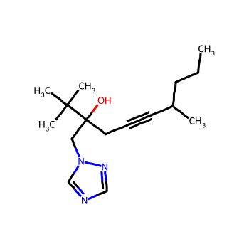 CCCC(C)C#CCC(O)(Cn1cncn1)C(C)(C)C